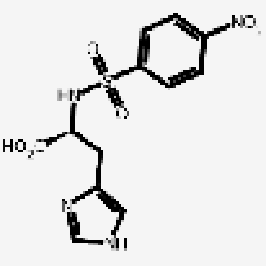 O=C(O)[C@H](Cc1c[nH]cn1)NS(=O)(=O)c1ccc([N+](=O)[O-])cc1